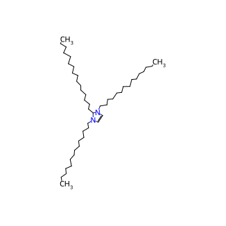 CCCCCCCCCCCCCCCCC1N(CCCCCCCCCCCCCC)C=CN1CCCCCCCCCCCCCCC